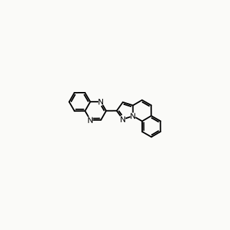 c1ccc2c(c1)ccc1cc(-c3cnc4ccccc4n3)nn12